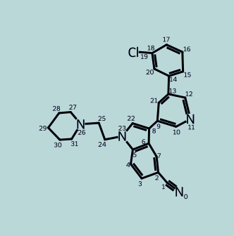 N#Cc1ccc2c(c1)c(-c1cncc(-c3cccc(Cl)c3)c1)cn2CCN1CCCCC1